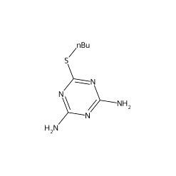 CCCCSc1nc(N)nc(N)n1